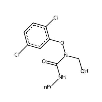 CCCNC(=O)N(CO)Oc1cc(Cl)ccc1Cl